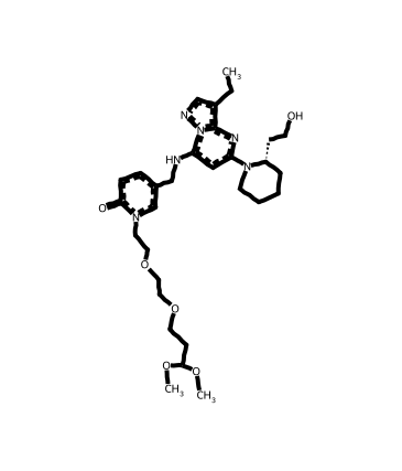 CCc1cnn2c(NCc3ccc(=O)n(CCOCCOCCC(OC)OC)c3)cc(N3CCCC[C@H]3CCO)nc12